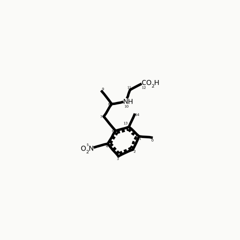 Cc1ccc([N+](=O)[O-])c(CC(C)NCC(=O)O)c1C